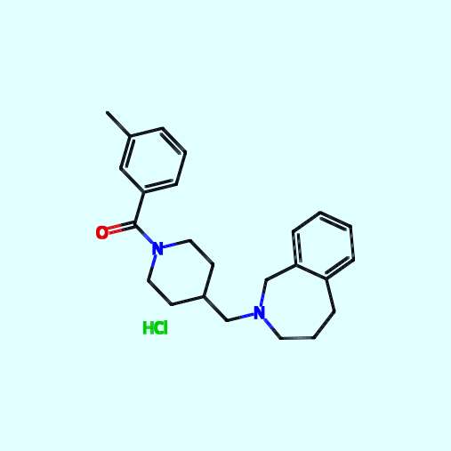 Cc1cccc(C(=O)N2CCC(CN3CCCc4ccccc4C3)CC2)c1.Cl